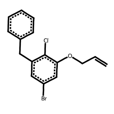 C=CCOc1cc(Br)cc(Cc2ccccc2)c1Cl